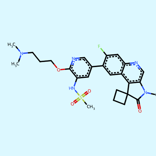 CN(C)CCCOc1ncc(-c2cc3c4c(cnc3cc2F)N(C)C(=O)C42CCC2)cc1NS(C)(=O)=O